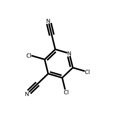 N#Cc1nc(Cl)c(Cl)c(C#N)c1Cl